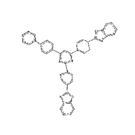 C1=CC(c2nc3ccccc3o2)CC=C1c1cc(-c2ccc(-c3ccccc3)cc2)nc(-c2ccc(-c3nc4ccccc4o3)cc2)n1